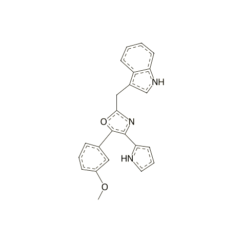 COc1cccc(-c2oc(Cc3c[nH]c4ccccc34)nc2-c2ccc[nH]2)c1